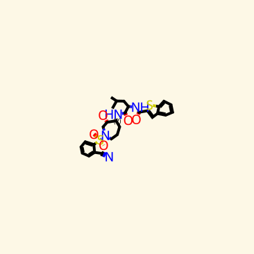 CC(C)CC(NC(=O)c1cc2ccccc2s1)C(=O)N[C@@H]1CCCN(S(=O)(=O)c2ccccc2C#N)CC1=O